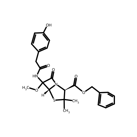 COC1(NC(=O)Cc2ccc(O)cc2)C(=O)N2[C@@H](C(=O)OCc3ccccc3)C(C)(C)S[C@@H]21